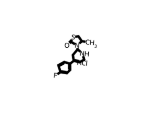 CC1CSC(=O)N1C1CC(c2ccc(F)cc2)=CCN1.Cl